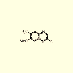 COc1cc2nc(Cl)cnc2cc1C